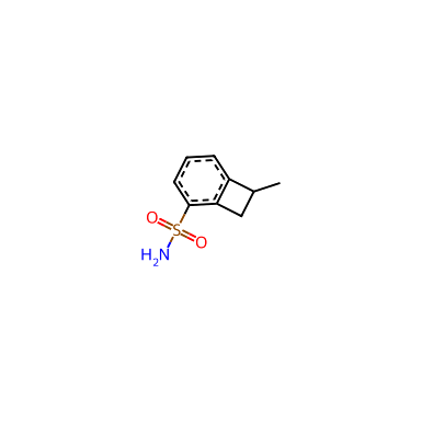 CC1Cc2c1cccc2S(N)(=O)=O